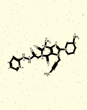 CC#CCn1c(N2CCCC(N)C2)nc2c1c(=O)n(CC(=O)NNc1ccccn1)c(=O)n2C